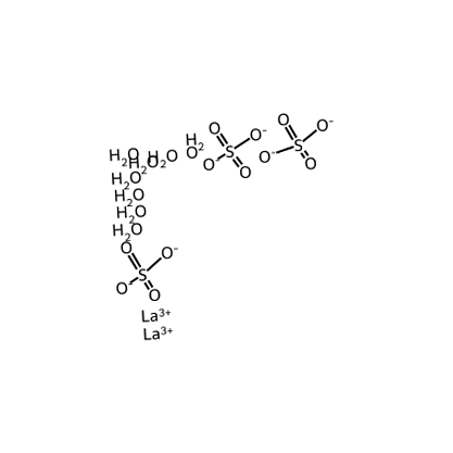 O.O.O.O.O.O.O.O.O=S(=O)([O-])[O-].O=S(=O)([O-])[O-].O=S(=O)([O-])[O-].[La+3].[La+3]